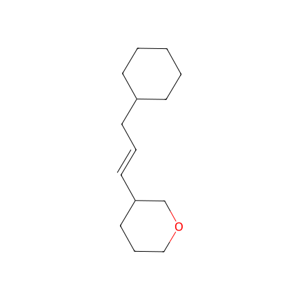 C(=CC1CCCOC1)CC1CCCCC1